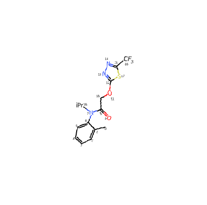 Cc1ccccc1N(C(=O)COc1nnc(C(F)(F)F)s1)C(C)C